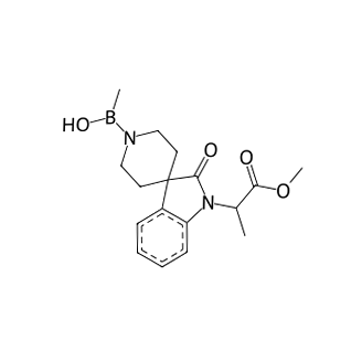 COC(=O)C(C)N1C(=O)C2(CCN(B(C)O)CC2)c2ccccc21